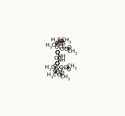 CC(=O)OC[C@H]1O[C@H](c2cccc(NC(=O)Nc3cccc([C@H]4O[C@H](COC(C)=O)[C@@H](OC(C)=O)[C@H](OC(C)=O)[C@@H]4OC(C)=O)c3)c2)[C@@H](OC(C)=O)[C@@H](OC(C)=O)C1OC(C)=O